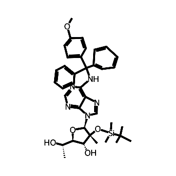 COc1ccc(C(Nc2ncnc3c2ncn3[C@@H]2O[C@H]([C@H](C)O)[C@@H](O)[C@@]2(C)O[Si](C)(C)C(C)(C)C)(c2ccccc2)c2ccccc2)cc1